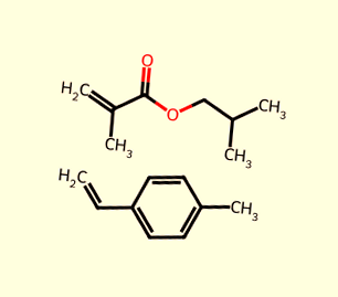 C=C(C)C(=O)OCC(C)C.C=Cc1ccc(C)cc1